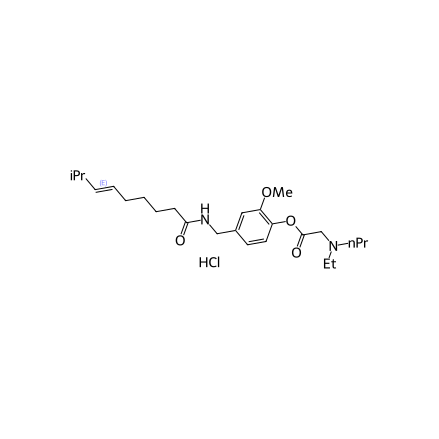 CCCN(CC)CC(=O)Oc1ccc(CNC(=O)CCCC/C=C/C(C)C)cc1OC.Cl